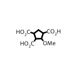 COC1C(C(=O)O)CC(C(=O)O)C1C(=O)O